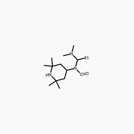 CCC(N(C)C)N(C=O)C1CC(C)(C)NC(C)(C)C1